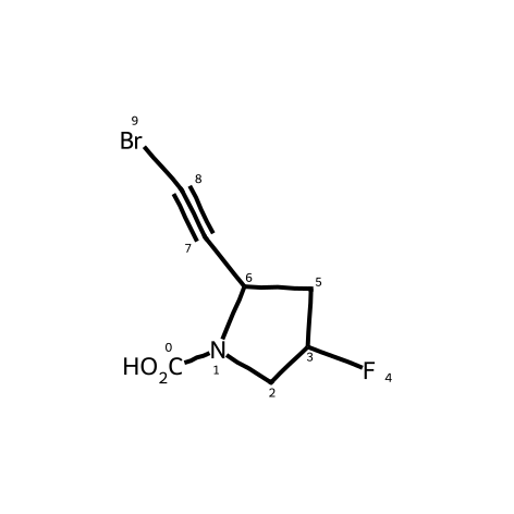 O=C(O)N1CC(F)CC1C#CBr